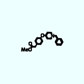 COC(=O)C[C@H]1CC[C@@H](OC2CCN(Cc3ccccc3)CC2)CC1